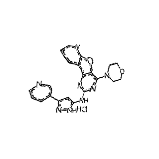 Cl.c1cncc(-c2cc(Nc3nc(N4CCOCC4)c4oc5ncccc5c4n3)[nH]n2)c1